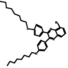 CCCCCCCCOc1ccc(-c2nc3cccc(Br)c3nc2-c2ccc(OCCCCCCCC)cc2)cc1